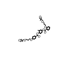 Cc1cc(OC(=O)c2ccccc2OCCCOCC2(C)COC2)ccc1OC(=O)c1ccc(OCCCOCC2(C)COC2)cc1